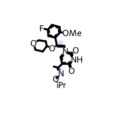 COc1ccc(F)cc1/C(=C/n1cc(/C(C)=N/OC(C)C)c(=O)[nH]c1=O)OC1CCOCC1